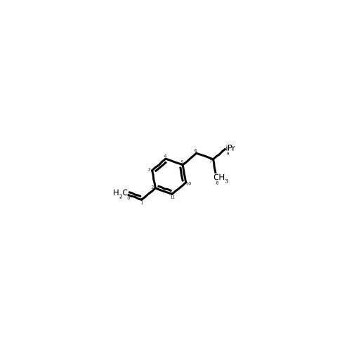 C=Cc1ccc(CC(C)C(C)C)cc1